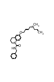 C=CCN(C)C/C=C/COc1ccc2c(c1)CCCN2C(=O)NCc1ccccc1